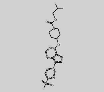 CC(C)COC(=O)N1CCC(Oc2ncnc3c2ncn3-c2ccc(S(C)(=O)=O)nc2)CC1